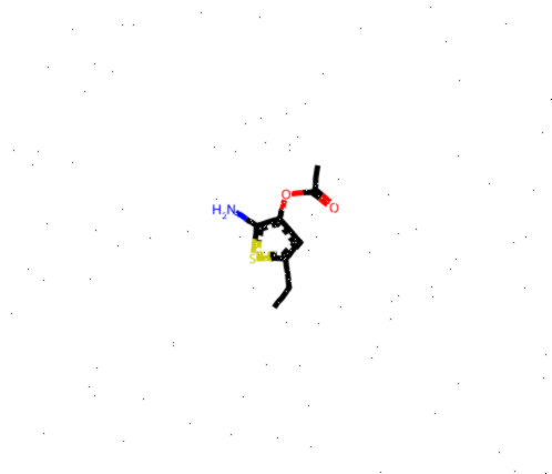 CCc1cc(OC(C)=O)c(N)s1